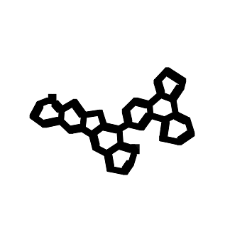 c1cnc2cc3c(cc2c1)-c1cc2cccnc2c(-c2ccc4c5ccccc5c5ccccc5c4c2)c1C3